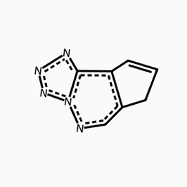 C1=Cc2c(cnn3nnnc23)C1